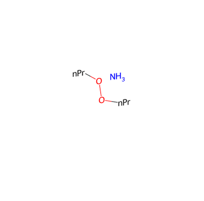 CCCOOCCC.N